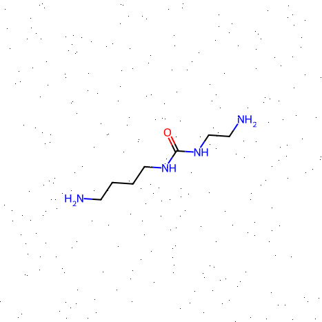 NCCCCNC(=O)NCCN